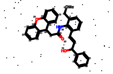 COCc1cccc(/C=C/C(O)c2ccccc2)c1NC(=O)CC1c2ccccc2Oc2ccccc21